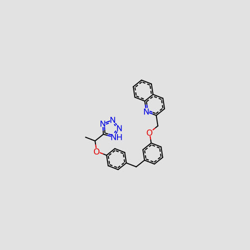 CC(Oc1ccc(Cc2cccc(OCc3ccc4ccccc4n3)c2)cc1)c1nnn[nH]1